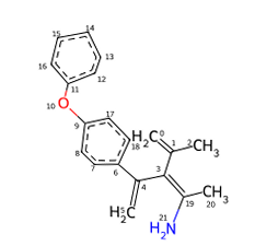 C=C(C)/C(C(=C)c1ccc(Oc2ccccc2)cc1)=C(\C)N